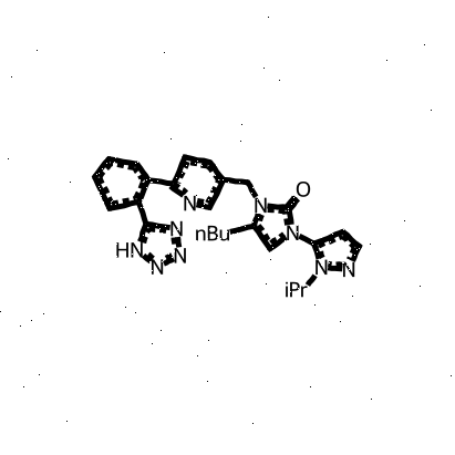 CCCCc1cn(-c2ccnn2C(C)C)c(=O)n1Cc1ccc(-c2ccccc2-c2nnn[nH]2)nc1